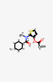 COC(=O)Oc1ccsc1N(C(=O)[C@H]1CC[C@H](C)CC1)C(C)C